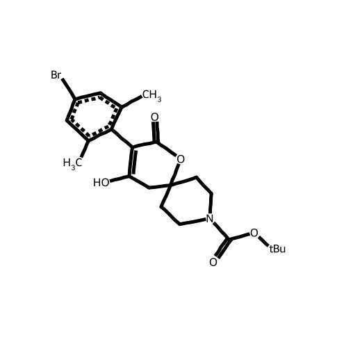 Cc1cc(Br)cc(C)c1C1=C(O)CC2(CCN(C(=O)OC(C)(C)C)CC2)OC1=O